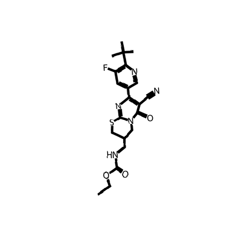 CCOC(=O)NCC1CSc2nc(-c3cnc(C(C)(C)C)c(F)c3)c(C#N)c(=O)n2C1